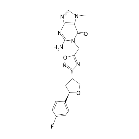 Cn1cnc2nc(N)n(Cc3nc([C@@H]4CO[C@@H](c5ccc(F)cc5)C4)no3)c(=O)c21